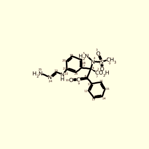 CS(=O)(=O)N(N)[C@](C(=O)O)(C(=C=O)c1ccccc1)c1cccc(NC=NN)c1